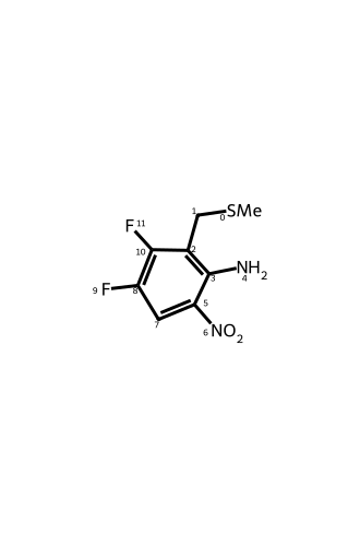 CSCc1c(N)c([N+](=O)[O-])cc(F)c1F